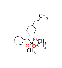 CCC[C@H]1CC[C@H](C(C2CCCCC2)[Si](OC)(OC)OC)CC1